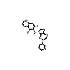 CC(c1c(F)cc2ncccc2c1F)n1cnc2ncc(-c3cncnc3)nc21